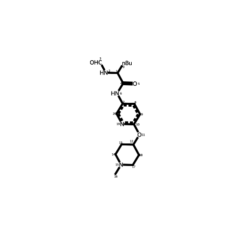 CCCCC(NC=O)C(=O)Nc1ccc(OC2CCN(C)CC2)nc1